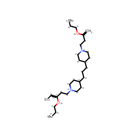 C=C(CCN1CCC(CCCC2CCN(CC/C(=C/CC)OCCC(C)(C)C)CC2)CC1)OCCC(C)(C)C